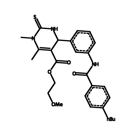 CCCCc1ccc(C(=O)Nc2cccc(C3NC(=S)N(C)C(C)=C3C(=O)OCCOC)c2)cc1